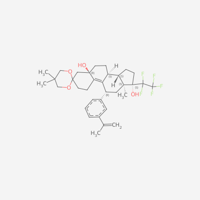 C=C(C)c1cccc([C@H]2C[C@@]3(C)[C@@H](CC[C@@]3(O)C(F)(F)C(F)(F)F)[C@@H]3CC[C@@]4(O)CC5(CCC4=C32)OCC(C)(C)CO5)c1